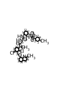 Cc1ccc(S(=O)(=O)NC(=O)c2cccc(NC(=O)NCC(=O)N(C)c3ccc(Cl)c(COc4cccc5ccc(C)nc45)c3Cl)c2)cc1